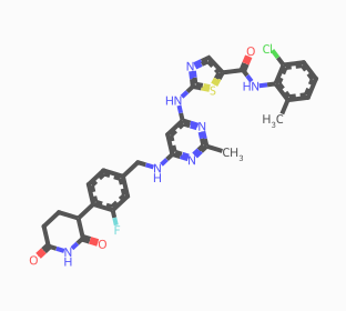 Cc1nc(NCc2ccc(C3CCC(=O)NC3=O)c(F)c2)cc(Nc2ncc(C(=O)Nc3c(C)cccc3Cl)s2)n1